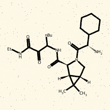 CCCCC(NC(=O)[C@@H]1[C@@H]2[C@H](CN1C(=O)[C@@H](N)C1CCCCC1)C2(C)C)C(=O)C(=O)NCC